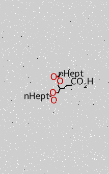 CCCCCCCC(=O)OCC(CCCC(=O)O)COC(=O)CCCCCCC